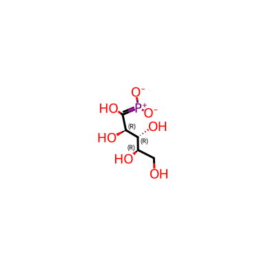 [O-][P+]([O-])=C(O)[C@H](O)[C@H](O)[C@H](O)CO